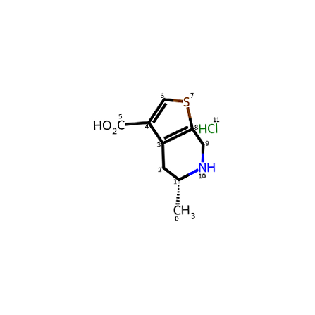 C[C@@H]1Cc2c(C(=O)O)csc2CN1.Cl